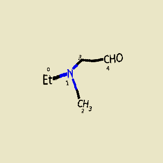 CCN(C)[CH]C=O